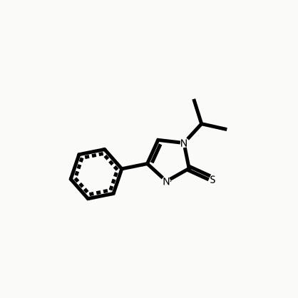 CC(C)N1C=C(c2ccccc2)[N]C1=S